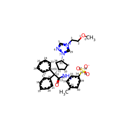 COCC[n+]1cnn([C@@H]2CC[C@H](C(C(N)=O)(c3ccccc3)c3ccccc3)C2)c1.Cc1ccc(S(=O)(=O)[O-])cc1